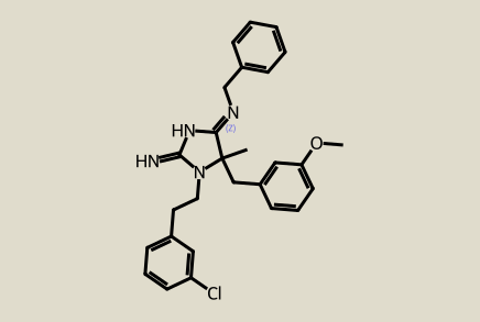 COc1cccc(CC2(C)/C(=N/Cc3ccccc3)NC(=N)N2CCc2cccc(Cl)c2)c1